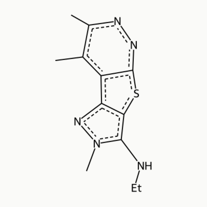 CCNc1c2sc3nnc(C)c(C)c3c2nn1C